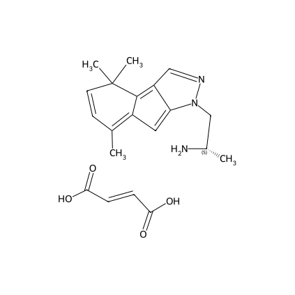 CC1=C2C=c3c(cnn3C[C@H](C)N)=C2C(C)(C)C=C1.O=C(O)C=CC(=O)O